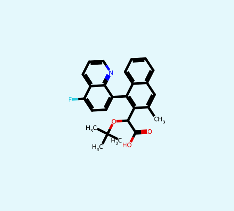 Cc1cc2ccccc2c(-c2ccc(F)c3cccnc23)c1C(OC(C)(C)C)C(=O)O